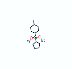 CCO[Si](OCC)(C1CCCC1)C1CCC(C)CC1